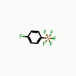 Fc1ccc(S(F)(F)(F)(F)F)cc1